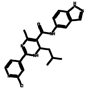 CC1=C(C(=O)Nc2ccc3[nH]ncc3c2)C(CC(C)C)NC(c2ccnc(Cl)c2)=N1